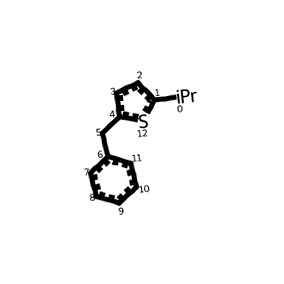 CC(C)c1ccc(Cc2ccccc2)s1